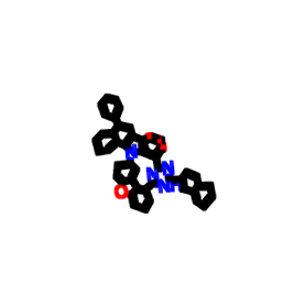 c1ccc(C2=NC(c3cccc4oc5ccc(-n6c7ccccc7c7cc(-c8ccccc8)c8ccccc8c76)cc5c34)NC(c3ccc4ccccc4c3)=N2)cc1